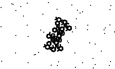 Cc1ccccc1N(c1cc2c3c(c1)N(c1ccc4c(c1)C(C)(C)CCC4(C)C)c1ccccc1B3c1cc3c(cc1O2)Oc1cc(N(c2ccccc2C)c2c(C)cccc2C)cc2c1B3c1oc3c(C)cccc3c1N2c1ccc2c(c1)C(C)(C)CCC2(C)C)c1c(C)cccc1C